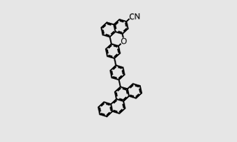 N#Cc1cc2c3c(cccc3c1)-c1ccc(-c3ccc(-c4cc5c6ccccc6ccc5c5ccccc45)cc3)cc1O2